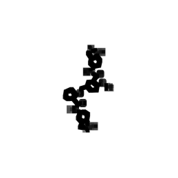 CCOc1ccc(COc2ccccc2C(=O)Nc2ccc3[nH]ncc3c2)cc1C(=O)Nc1ccc2[nH]ncc2c1